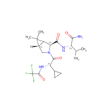 CC(C)[C@H](NC(=O)[C@@H]1C2[C@H](CN1C(=O)[C@@H](NC(=O)C(F)(F)F)C1CC1)C2(C)C)C(N)=O